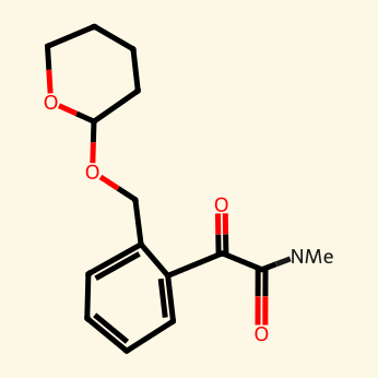 CNC(=O)C(=O)c1ccccc1COC1CCCCO1